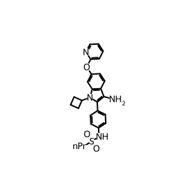 CCCS(=O)(=O)Nc1ccc(-c2c(N)c3ccc(Oc4ccccn4)cc3n2C2CCC2)cc1